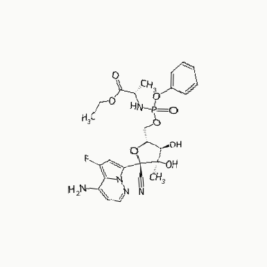 CCOC(=O)[C@H](C)NP(=O)(OC[C@H]1O[C@@](C#N)(c2cc(F)c3c(N)ccnn23)[C@](C)(O)[C@@H]1O)Oc1ccccc1